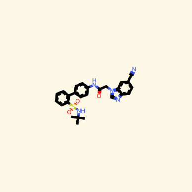 CC(C)(C)NS(=O)(=O)c1ccccc1-c1ccc(NC(=O)Cn2cnc3ccc(C#N)cc32)cc1